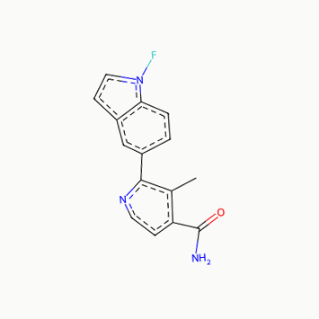 Cc1c(C(N)=O)ccnc1-c1ccc2c(ccn2F)c1